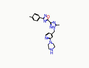 Cc1ccc(-c2noc(-c3nc(C)n(Cc4ccnc(N5CCNCC5)c4)n3)n2)cc1